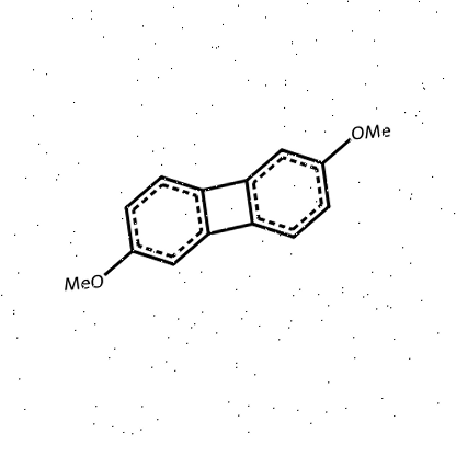 COc1ccc2c(c1)-c1ccc(OC)cc1-2